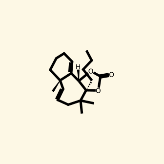 CCCC[C@@]12OC(=O)O[C@H]1C1=CCCC[C@@]1(C)/C=C/CC2(C)C